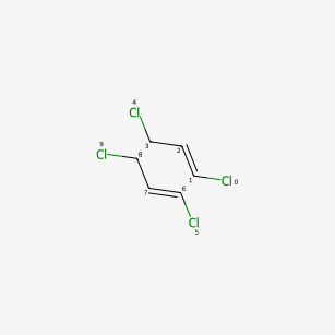 Cl/C=C/CCl.ClC=CCCl